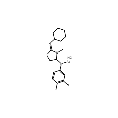 CC(=O)N(c1ccc(C)c(F)c1)C1CSC(=NC2CCCCC2)N1C.Cl